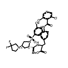 COC(=O)C(Cc1ccc(NC(=O)c2c(Cl)cncc2Cl)cc1)NC(=O)[C@@H]1C[C@@H](N2CCC(F)(F)C2)CN1S(=O)(=O)c1cccc(C#N)c1